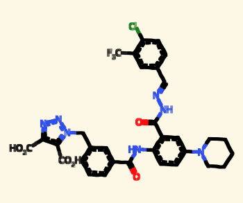 O=C(Nc1ccc(N2CCCCC2)cc1C(=O)NN=Cc1ccc(Cl)c(C(F)(F)F)c1)c1cccc(Cn2nnc(C(=O)O)c2C(=O)O)c1